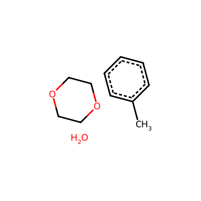 C1COCCO1.Cc1ccccc1.O